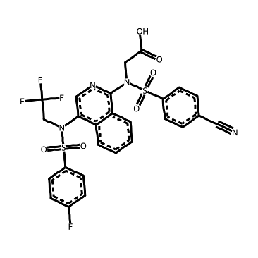 N#Cc1ccc(S(=O)(=O)N(CC(=O)O)c2ncc(N(CC(F)(F)F)S(=O)(=O)c3ccc(F)cc3)c3ccccc23)cc1